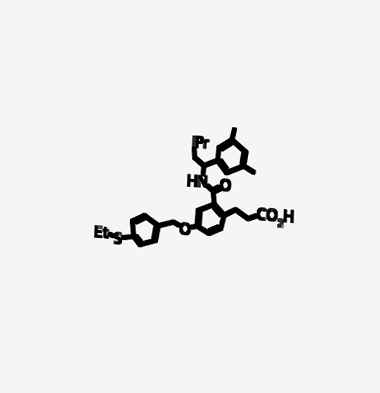 CCSc1ccc(COc2ccc(CCC(=O)O)c(C(=O)NC(CC(C)C)c3cc(C)cc(C)c3)c2)cc1